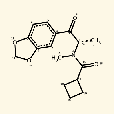 C[C@@H](C(=O)c1ccc2c(c1)OCO2)N(C)C(=O)C1CCC1